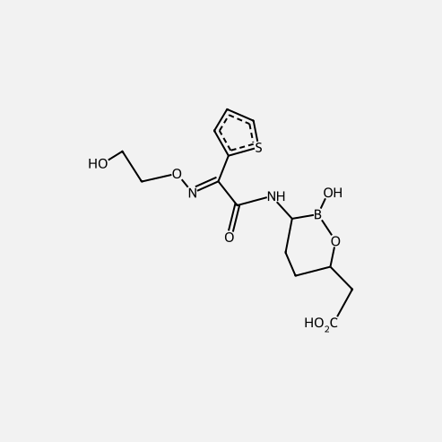 O=C(O)CC1CCC(NC(=O)/C(=N/OCCO)c2cccs2)B(O)O1